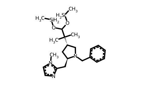 C[SiH2]OC(O[SiH2]C)C(C)(C)[C@H]1C[C@H](Cc2nccn2C)N(Cc2ccccc2)C1